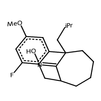 COc1cc(F)c2c(c1)C1(CC(C)C)CCCCC(C2)/C1=N/O